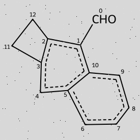 O=Cc1c2c(cc3ccccc13)CC2